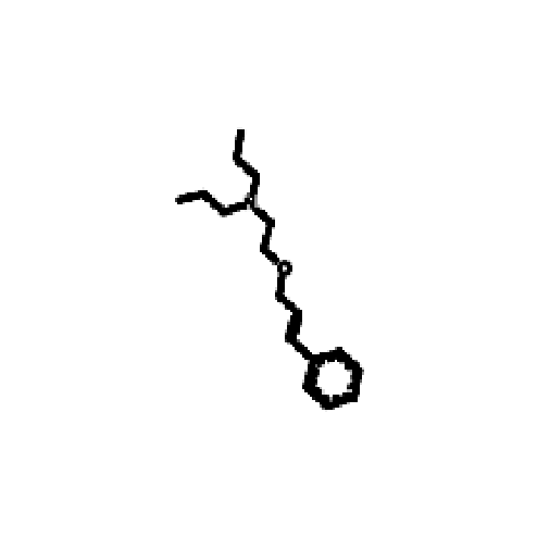 CCCN(CCC)CCOCC=Cc1ccccc1